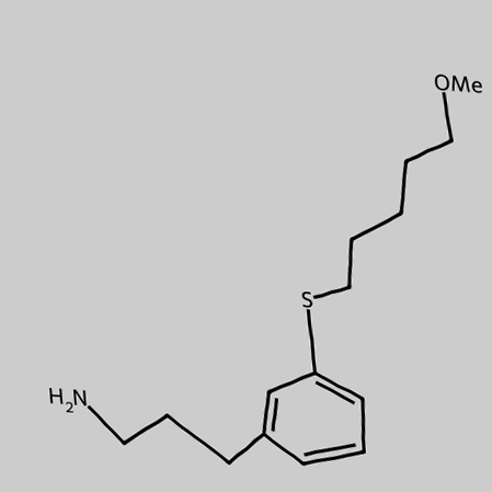 COCCCCCSc1cccc(CCCN)c1